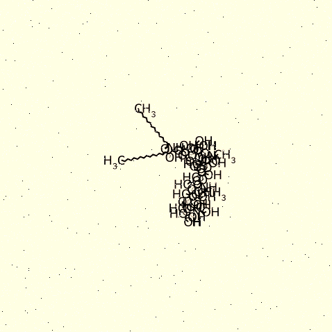 CCCCCCCCCCCCC/C=C/[C@@H](O)[C@H](CO[C@@H]1OC(CO)[C@@H](O[C@@H]2OC(CO)[C@H](O)[C@H](O[C@@H]3OC(CO)[C@@H](O[C@@H]4OC(CO)[C@H](O)[C@H](O[C@@H]5OC(CO)[C@@H](O[C@@H]6OC(CO)[C@H](O)[C@H](O[C@]7(C(=O)O)CC(O)[C@@H](NC(=O)CO)C([C@H](O)[C@H](O)CO)O7)C6O)[C@H](O)C5NC(C)=O)C4O)[C@H](O)C3NC(C)=O)C2O)[C@H](O)C1O)NC(=O)CCCCCCCCCCCCCCC